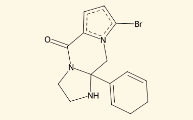 O=C1c2ccc(Br)n2CC2(C3=CCCC=C3)NCCN12